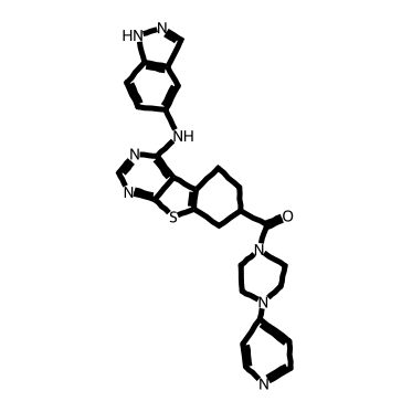 O=C(C1CCc2c(sc3ncnc(Nc4ccc5[nH]ncc5c4)c23)C1)N1CCN(c2ccncc2)CC1